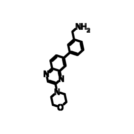 NCc1cccc(-c2ccc3ncc(N4CCOCC4)nc3c2)c1